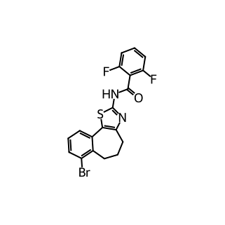 O=C(Nc1nc2c(s1)-c1cccc(Br)c1CCC2)c1c(F)cccc1F